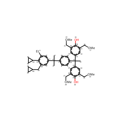 CCc1cc(C(C)(C)c2ccc(C(C)(c3cc(COC)c(O)c(COC)c3)c3cc(COC)c(O)c(COC)c3)cc2)cc(CC2CC2)c1C1CC1